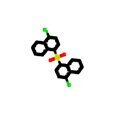 O=S(=O)(c1ccc(Cl)c2ccccc12)c1ccc(Cl)c2ccccc12